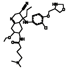 CCCC1(Nc2ccc(OCC3COCN3)c(Cl)c2)C(C#N)CN=C2CC(OCC)C(NC(=O)CCCN(C)C)CC21